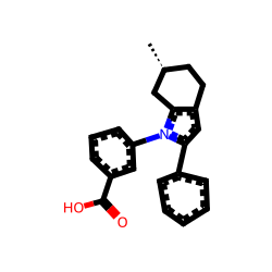 C[C@@H]1CCc2cc(-c3ccccc3)n(-c3cccc(C(=O)O)c3)c2C1